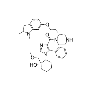 COC[C@]1(O)CCCC[C@H]1n1cnc(C(=O)N2CCNC[C@H]2CCOc2ccc3c(c2)N(C)C(C)C3)c1-c1ccccc1